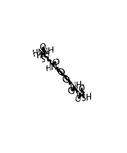 O=C(CCCCC1SC[C@@H]2NC(=O)N[C@H]12)NCCOCCOCCNC(=O)CCN1C(=O)CC(S)C1=O